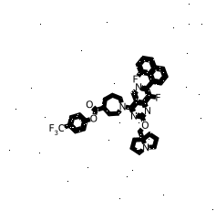 O=C(Oc1ccc(C(F)(F)F)cc1)C1CCCN(c2nc(OCC34CCCN3CCC4)nc3c(F)c(-c4cccc5cccc(F)c45)ncc23)CC1